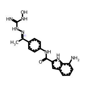 C/C(=N\NC(=N)NO)c1ccc(NC(=O)c2cc3cccc(N)c3[nH]2)cc1